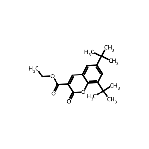 CCOC(=O)c1cc2cc(C(C)(C)C)cc(C(C)(C)C)c2oc1=O